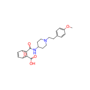 COc1ccc(CCN2CCC(NC(=O)c3c(C(=O)O)c4ccc3o4)CC2)cc1